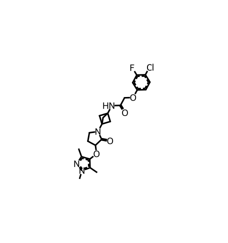 Cc1nn(C)c(C)c1OC1CCN(C23CC(NC(=O)COc4ccc(Cl)c(F)c4)(C2)C3)C1=O